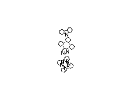 C1=CB2N(C=C1)B1C=CC=CN1B1C=CC(c3ncc4c(n3)-c3ccccc3-c3ccc(-n5c6ccccc6c6ccccc65)cc3-c3ccccc3-4)=CN1B1C=CC=CN21